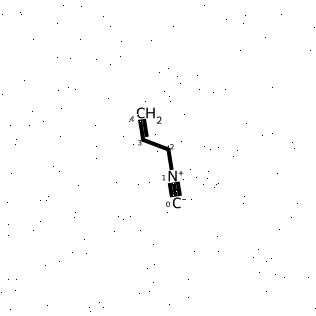 [C-]#[N+][CH]C=C